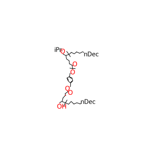 CCCCCCCCCCCCCCCC(C)(C)C(CO)CCCC(=O)OCc1ccc(COC(C)(C)C(=O)CCCC(COC(C)C)C(C)(C)CCCCCCCCCCCCCCC)cc1